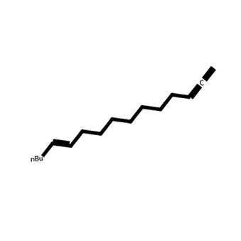 C=C=CCCCCCCCC=CCCCC